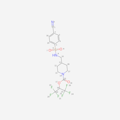 N#Cc1ccc(S(=O)(=O)NCC2CCN(C(=O)OC(C(F)(F)F)C(F)(F)F)CC2)cc1